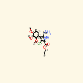 CCCOC(=O)c1[nH]c(CN)c(-c2ccc(OC)c(OC)c2OC)c1Cl